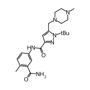 Cc1ccc(NC(=O)c2cc(CN3CCN(C)CC3)n(C(C)(C)C)n2)cc1C(N)=O